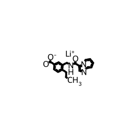 CCCc1ccc(C(=O)[O-])cc1CNC(=O)c1cnc2ccccn12.[Li+]